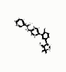 Cc1ccc(C2=NOC(C)(C)C2=O)cc1-c1cnc(NC(=O)c2cccnc2)cn1